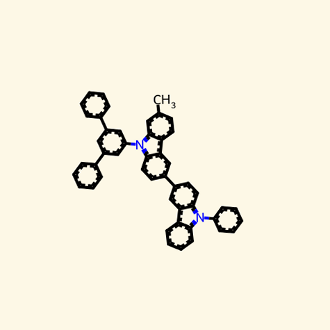 Cc1ccc2c3cc(-c4ccc5c(c4)c4ccccc4n5-c4ccccc4)ccc3n(-c3cc(-c4ccccc4)cc(-c4ccccc4)c3)c2c1